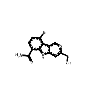 NC(=O)c1ccc(Br)c2c1[nH]c1cc(CO)ncc12